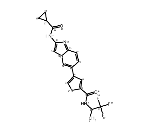 CC(NC(=O)c1cc(-c2ccc3nc(NC(=O)C4CC4)cn3c2)cs1)C(F)(F)F